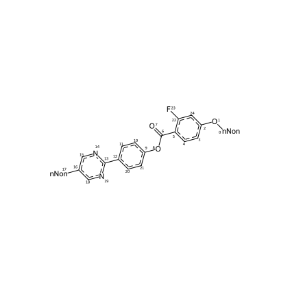 CCCCCCCCCOc1ccc(C(=O)Oc2ccc(-c3ncc(CCCCCCCCC)cn3)cc2)c(F)c1